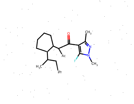 CC(=O)C(C(=O)c1c(C)nn(C)c1F)C1CCCCC1C(C)CC(C)C